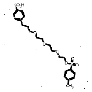 Cc1ccc(S(=O)(=O)OCCOCCOCCOCCCc2ccc(S(=O)(=O)O)cc2)cc1